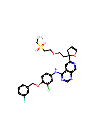 CCS(=O)(=O)CCOCCC1(c2cc3c(Nc4ccc(OCc5cccc(F)c5)c(Cl)c4)ncnc3cn2)CC=CO1